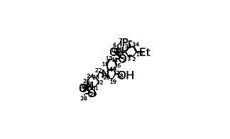 CCc1ccc(N(CC(C)C)S(=O)(=O)c2ccc3c(c2)C(O)CCN3CC2CCN(S(C)(=O)=O)CC2)cc1